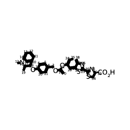 C=C(OCc1ccc(OC2c3cccc(c3)N(C)C2C)cc1)OC(=C/C)/C=c1/sc(C2=N[C@@H](C(=O)O)CS2)nc1=C